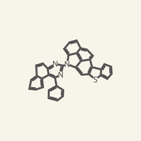 c1ccc(-c2nc(-n3c4cccc5ccc6c7c(cc3c6c54)sc3ccccc37)nc3ccc4ccccc4c23)cc1